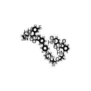 CC(C)(CNc1cccc2c1C(=O)N(C1CCC(=O)NC1=O)C2=O)COCC(C)(C)CN1CCN(c2ccc(-c3ccc4c(c3)C(=O)N(C(C(=O)Nc3nccs3)c3cc(F)ccc3O)C4)cc2)CC1